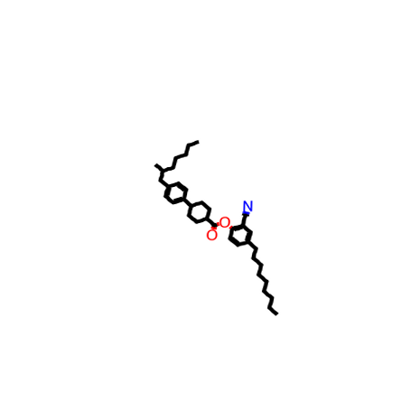 CCCCCCCCCc1ccc(OC(=O)C2CCC(c3ccc(CC(C)CCCCC)cc3)CC2)c(C#N)c1